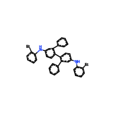 CCc1ccccc1Nc1ccc(-c2ccc(Nc3ccccc3CC)cc2-c2ccccc2)c(-c2ccccc2)c1